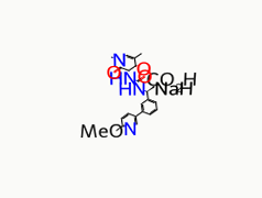 COc1ccc(-c2cccc([C@H](CC(=O)O)NC(=O)NC3C(=O)C(C)=CN(C)C3=O)c2)cn1.[NaH]